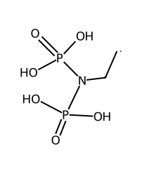 [CH2]CN(P(=O)(O)O)P(=O)(O)O